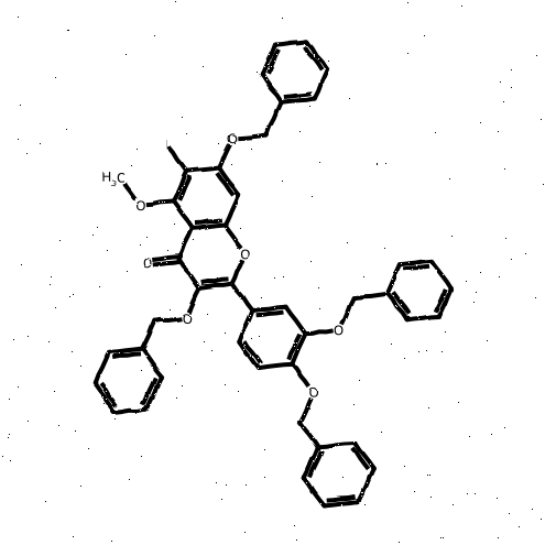 COc1c(I)c(OCc2ccccc2)cc2oc(-c3ccc(OCc4ccccc4)c(OCc4ccccc4)c3)c(OCc3ccccc3)c(=O)c12